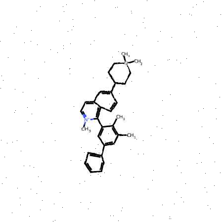 Cc1cc(-c2ccccc2)cc(-c2c3ccc(C4CC[Si](C)(C)CC4)cc3cc[n+]2C)c1C